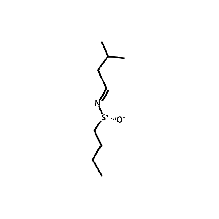 CCCC[S@@+]([O-])/N=C/CC(C)C